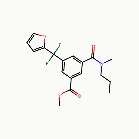 CCCN(C)C(=O)c1cc(C(=O)OC)cc(C(F)(F)c2ccco2)c1